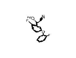 N#CC(O)c1cc(Oc2ccccc2F)ccc1F